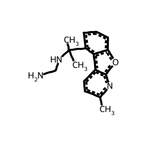 Cc1ccc2c(n1)oc1cccc(C(C)(C)NCN)c12